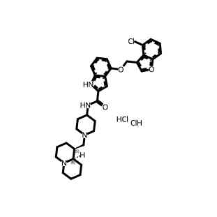 Cl.Cl.O=C(NC1CCN(C[C@@H]2CCCN3CCCC[C@H]23)CC1)c1cc2c(OCc3coc4cccc(Cl)c34)cccc2[nH]1